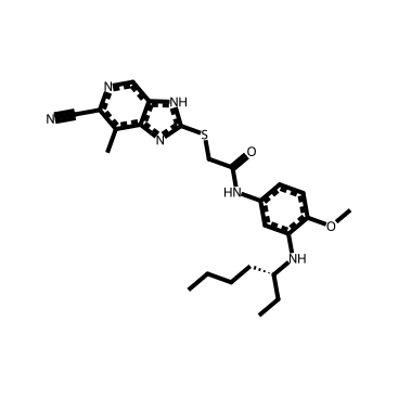 CCCC[C@@H](CC)Nc1cc(NC(=O)CSc2nc3c(C)c(C#N)ncc3[nH]2)ccc1OC